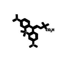 CN(C)c1ccc2c(c1)[Si](C)(C)c1cc(N(C)C)ccc1C2=CCC(C)(C)C(=O)O